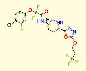 O=C(N[Si@H]1CC[C@H](c2nnc(OCCC(F)(F)F)o2)NC1)C(F)(F)Oc1ccc(Cl)c(F)c1